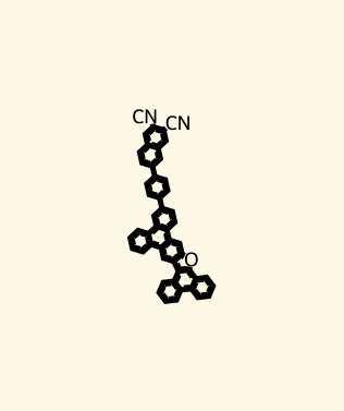 N#Cc1cc2ccc(-c3ccc(-c4ccc5c(c4)c4ccccc4c4cc6c(cc54)oc4c5ccccc5c5ccccc5c64)cc3)cc2cc1C#N